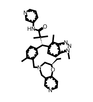 CC[C@@H]1CN(Cc2cc([C@@H](c3ccc4c(nnn4C)c3C)C(C)(C)C(=O)Nc3cccnc3)ccc2C)Cc2cnccc2O1